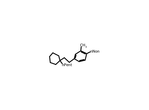 CCCCCCCCCc1ccc(CCC2(CCCCC)CCCCC2)cc1C